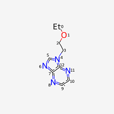 CCOCCn1cnc2n[c]cnc21